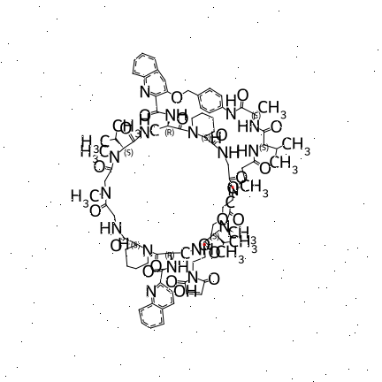 CC(C)[C@H](NC(=O)CCOCCOCCOCCN1C(=O)C=CC1=O)C(=O)N[C@@H](C)C(=O)Nc1ccc(COc2cc3ccccc3nc2C(=O)N[C@@H]2CNC(=O)[C@H](C(C)C)N(C)C(=O)CN(C)C(=O)CNC(=O)[C@@H]3CCCCN3C(=O)[C@H](NC(=O)c3nc4ccccc4cc3O)CNC(=O)[C@H](C(C)C)N(C)C(=O)CN(C)C(=O)CNC(=O)[C@@H]3CCCCN3C2=O)cc1